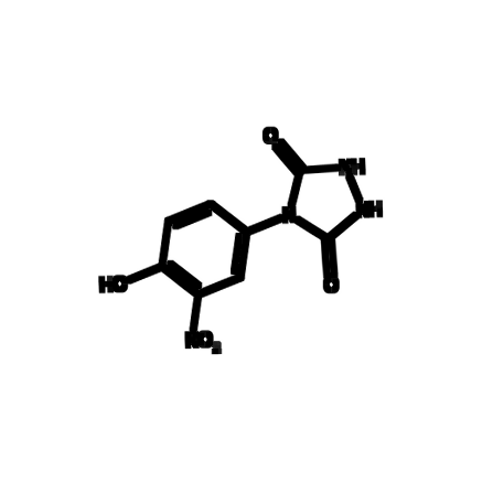 O=c1[nH][nH]c(=O)n1-c1ccc(O)c([N+](=O)[O-])c1